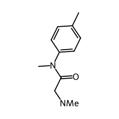 CNCC(=O)N(C)c1ccc(C)cc1